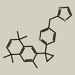 Cc1cc2c(cc1C1(c3ccc(Cc4nccs4)cn3)CC1)C(C)(C)C=CC2(C)C